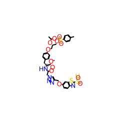 COC(=O)[C@H](Cc1ccc(OCC(COS(=O)(=O)c2ccc(C)cc2)OC(C)=O)cc1)NC(=O)Cn1cc(COc2ccc3nc([SH](=O)=O)sc3c2)nn1